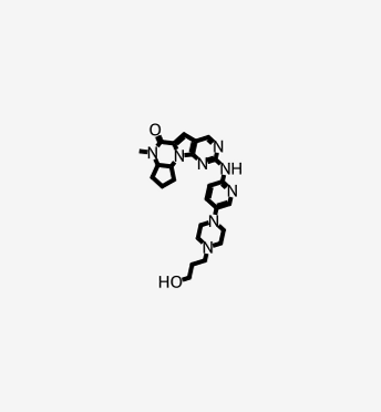 CN1C(=O)c2cc3cnc(Nc4ccc(N5CCN(CCCO)CC5)cn4)nc3n2C2CCCC21